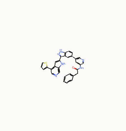 O=C(Cc1ccccc1)Nc1cncc(-c2ccc3[nH]nc(-c4cc5c(-c6cccs6)cncc5[nH]4)c3c2)c1